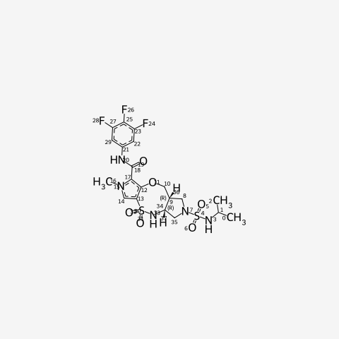 CC(C)NS(=O)(=O)N1C[C@H]2COc3c(cn(C)c3C(=O)Nc3cc(F)c(F)c(F)c3)S(=O)(=O)N[C@H]2C1